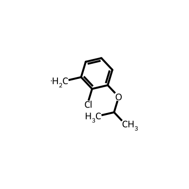 [CH2]c1cccc(OC(C)C)c1Cl